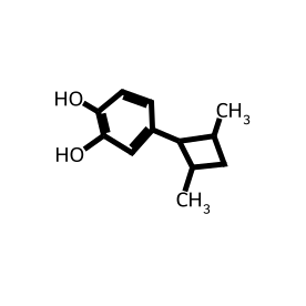 CC1CC(C)C1c1ccc(O)c(O)c1